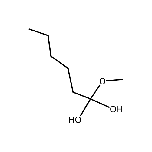 CCCCCC(O)(O)OC